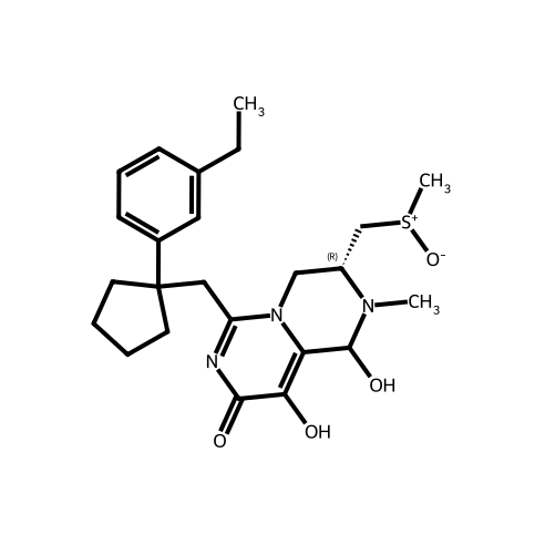 CCc1cccc(C2(Cc3nc(=O)c(O)c4n3C[C@H](C[S+](C)[O-])N(C)C4O)CCCC2)c1